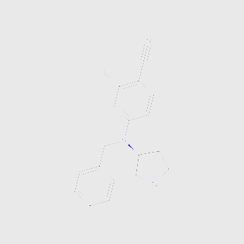 N#Cc1ccc(N(Cc2ccccc2)[C@H]2CCNC2)cc1Cl